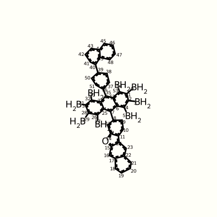 Bc1c(B)c(B)c2c(-c3ccc4c(c3)oc3cc5ccccc5cc34)c3c(B)c(B)c(B)c(B)c3c(-c3ccc(-c4cccc5ccccc45)cc3)c2c1B